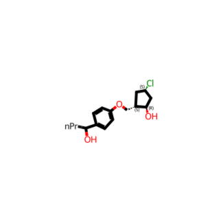 CCCC(O)c1ccc(OC[C@@H]2C[C@H](Cl)C[C@H]2O)cc1